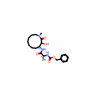 CC(C)[C@H](NC(=O)OCc1ccccc1)C(=O)N[C@H]1CCCCCCCN(C)C(=O)C1O